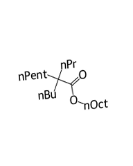 CCCCCCCCOC(=O)C(CCC)(CCCC)CCCCC